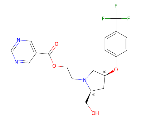 O=C(OCCN1C[C@@H](Oc2ccc(C(F)(F)F)cc2)C[C@H]1CO)c1cncnc1